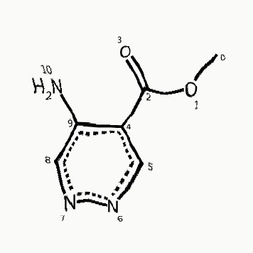 COC(=O)c1cnncc1N